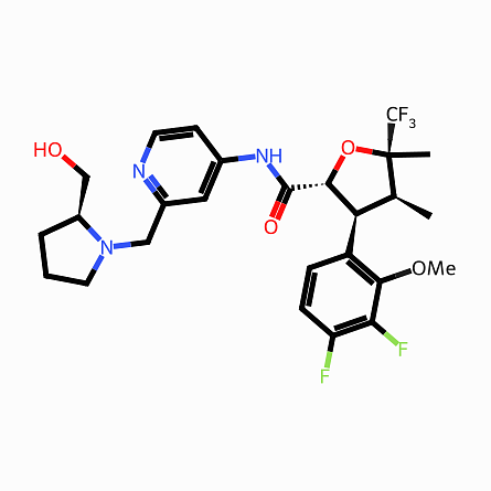 COc1c([C@H]2[C@H](C(=O)Nc3ccnc(CN4CCC[C@H]4CO)c3)O[C@@](C)(C(F)(F)F)[C@H]2C)ccc(F)c1F